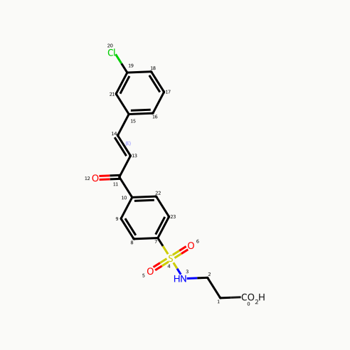 O=C(O)CCNS(=O)(=O)c1ccc(C(=O)/C=C/c2cccc(Cl)c2)cc1